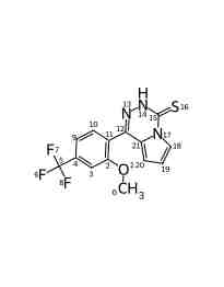 COc1cc(C(F)(F)F)ccc1-c1n[nH]c(=S)n2cccc12